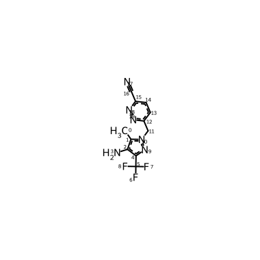 Cc1c(N)c(C(F)(F)F)nn1Cc1ccc(C#N)nn1